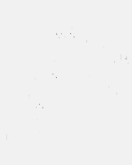 C=CC(=O)N1CCN(C(=O)c2cc(Cl)c(Br)c(F)c2NC)CC1